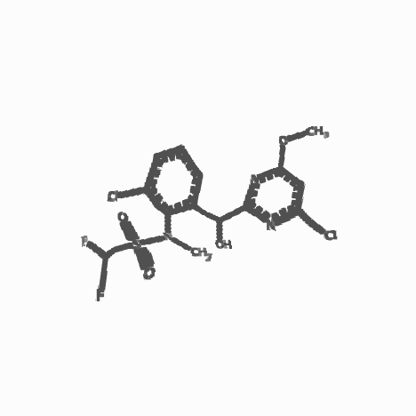 COc1cc(Cl)nc(C(O)c2cccc(Cl)c2N(C)S(=O)(=O)C(F)F)n1